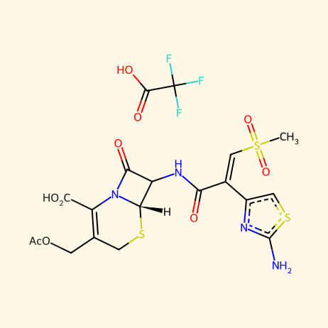 CC(=O)OCC1=C(C(=O)O)N2C(=O)C(NC(=O)C(=CS(C)(=O)=O)c3csc(N)n3)[C@@H]2SC1.O=C(O)C(F)(F)F